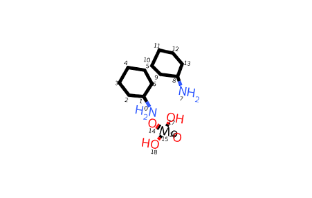 NC1CCCCC1.NC1CCCCC1.[O]=[Mo](=[O])([OH])[OH]